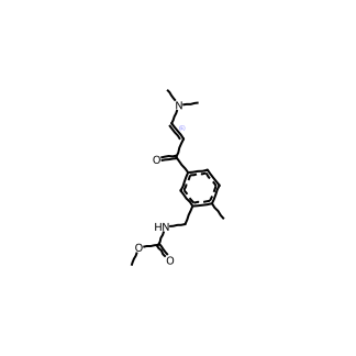 COC(=O)NCc1cc(C(=O)/C=C/N(C)C)ccc1C